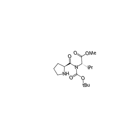 COC(=O)[C@H](C(C)C)N(C(=O)OC(C)(C)C)C(=O)[C@@H]1CCCN1